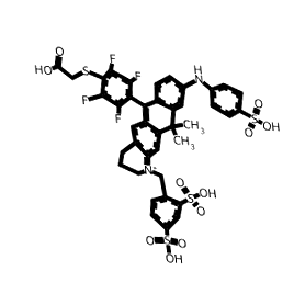 CC1(C)c2cc(Nc3ccc(S(=O)(=O)O)cc3)ccc2C(c2c(F)c(F)c(SCC(=O)O)c(F)c2F)=c2cc3c(cc21)=[N+](Cc1ccc(S(=O)(=O)O)cc1S(=O)(=O)O)CCC3